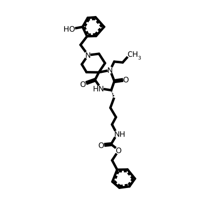 CCCN1C(=O)[C@H](CCCCNC(=O)OCc2ccccc2)NC(=O)C12CCN(Cc1ccccc1O)CC2